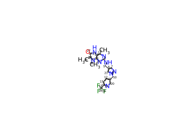 Cc1nc(NCc2cnn(Cc3ccc(C(F)(F)F)nc3)c2)nc2c1NC(=O)[C@H](C)N2C